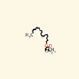 CC/C=C\C/C=C\C/C=C\C/C=C\C/C=C\CCCCOC(CC)C(C)=O